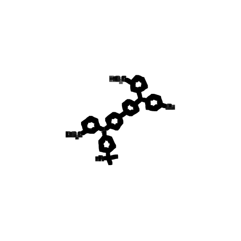 CCCC(C)(C)c1ccc(N(c2ccc(-c3ccc(C(c4ccc(C(C)(C)C)cc4)c4cccc(C(=O)OCC)c4)cc3)cc2)c2cccc(C(=O)OCC)c2)cc1